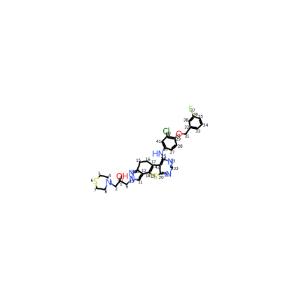 O[C@H](CN1CCSCC1)Cn1cc2c(n1)CCc1c-2sc2ncnc(Nc3ccc(OCc4cccc(F)c4)c(Cl)c3)c12